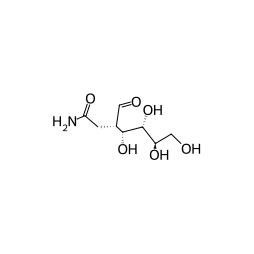 NC(=O)C[C@H](C=O)[C@@H](O)[C@H](O)[C@H](O)CO